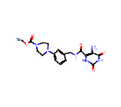 CC(C)(C)OC(=O)N1CCN(c2cccc(CNC(=O)c3[nH]c(=O)[nH]c(=O)c3N)c2)CC1